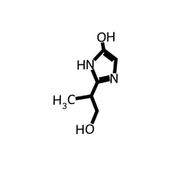 CC(CO)c1ncc(O)[nH]1